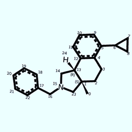 C[C@]12CCc3c(C4CC4)cccc3[C@H]1CN(Cc1ccccc1)C2